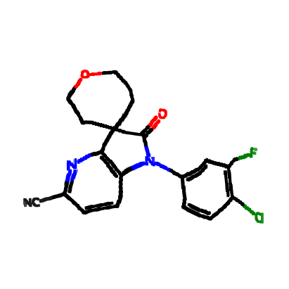 N#Cc1ccc2c(n1)C1(CCOCC1)C(=O)N2c1ccc(Cl)c(F)c1